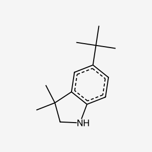 CC(C)(C)c1ccc2c(c1)C(C)(C)CN2